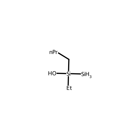 CCCC[Si](O)([SiH3])CC